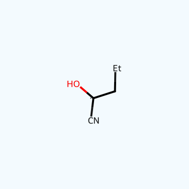 CCC[C](O)C#N